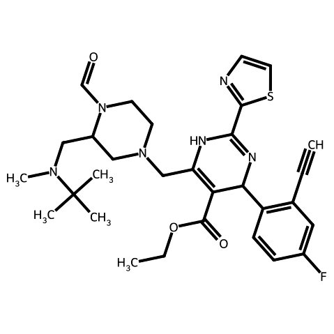 C#Cc1cc(F)ccc1C1N=C(c2nccs2)NC(CN2CCN(C=O)C(CN(C)C(C)(C)C)C2)=C1C(=O)OCC